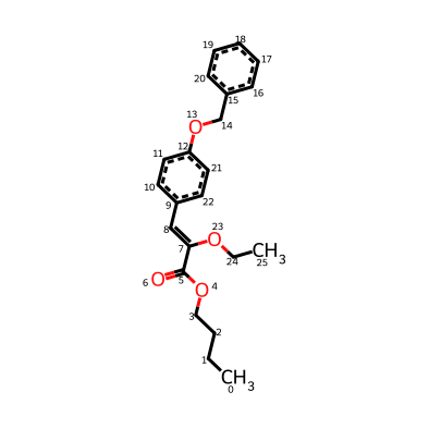 CCCCOC(=O)/C(=C/c1ccc(OCc2ccccc2)cc1)OCC